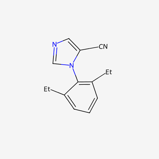 CCc1cccc(CC)c1-n1cncc1C#N